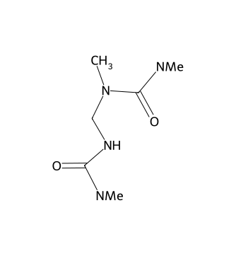 CNC(=O)NCN(C)C(=O)NC